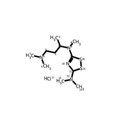 CC(CCN(C)C)N(C)C1=NC(N(C)C)SS1.Cl